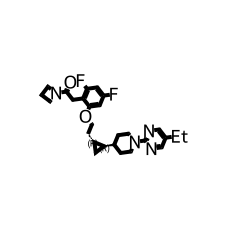 CCc1cnc(N2CCC([C@H]3C[C@@H]3CCOc3cc(F)cc(F)c3CC(=O)N3CCC3)CC2)nc1